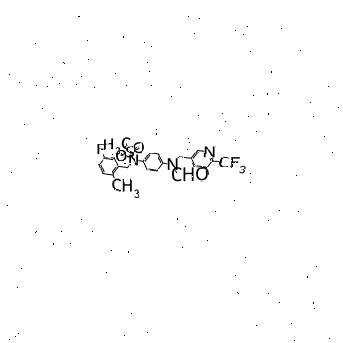 Cc1ccc(F)cc1CN(c1ccc(N(C=O)Cc2ccc(C(F)(F)F)nc2)cc1)S(C)(=O)=O